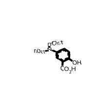 CCCCCCCCN(CCCCCCCC)c1ccc(O)c(C(=O)O)c1